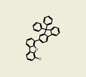 Clc1cccc2c1oc1c(-c3ccc4c(c3)C(c3ccccc3)(c3ccccc3)c3ccccc3-4)cccc12